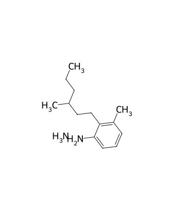 CCCC(C)CCc1c(C)cccc1N.N